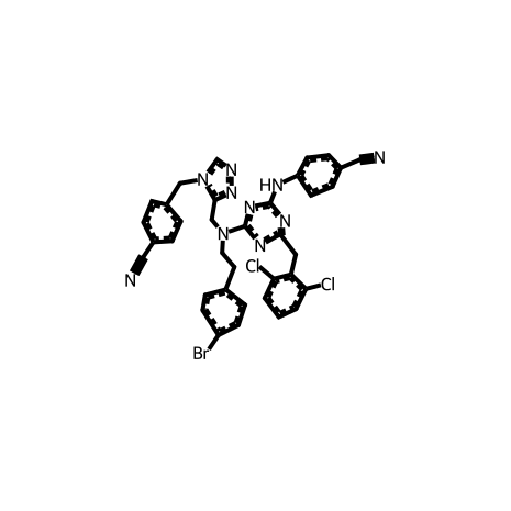 N#Cc1ccc(Cn2cnnc2CN(CCc2ccc(Br)cc2)c2nc(Cc3c(Cl)cccc3Cl)nc(Nc3ccc(C#N)cc3)n2)cc1